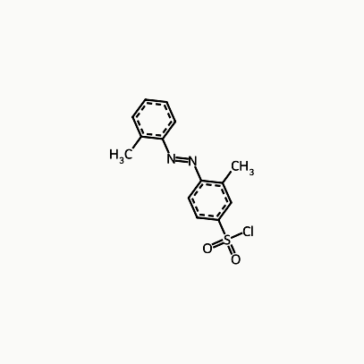 Cc1ccccc1/N=N/c1ccc(S(=O)(=O)Cl)cc1C